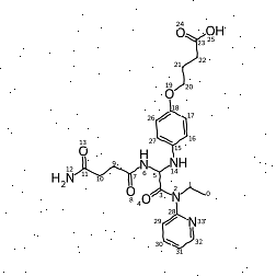 CCN(C(=O)C(NC(=O)CCC(N)=O)Nc1ccc(OCCCC(=O)O)cc1)c1ccccn1